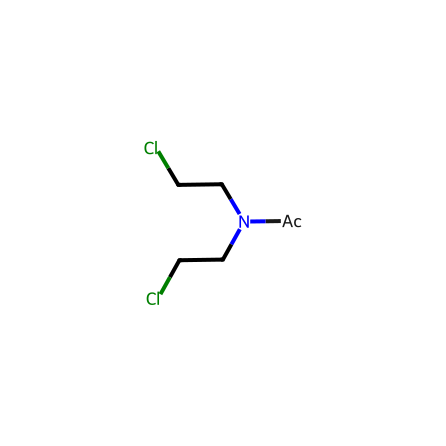 CC(=O)N(CCCl)CCCl